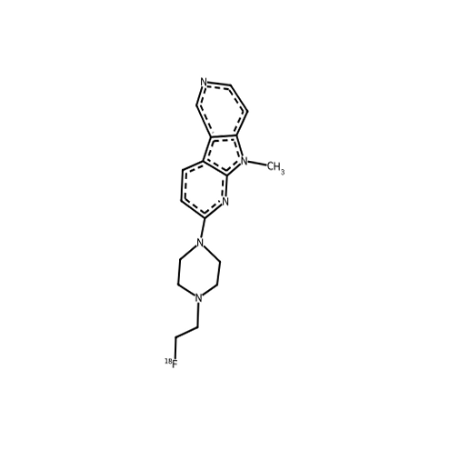 Cn1c2ccncc2c2ccc(N3CCN(CC[18F])CC3)nc21